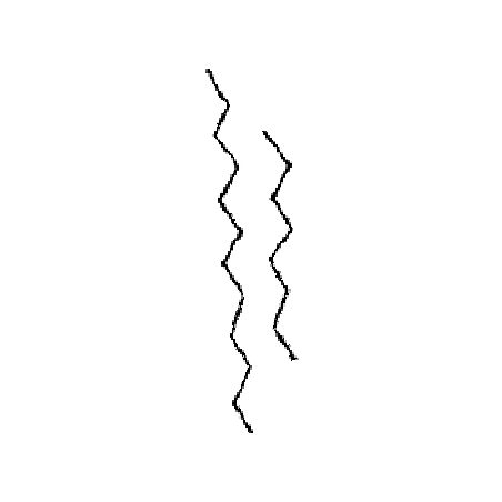 CCCCCCCC.CCCCCCCCCCCC